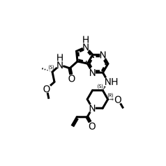 C=CC(=O)N1CC[C@H](Nc2cnc3[nH]cc(C(=O)N[C@@H](C)COC)c3n2)[C@H](OC)C1